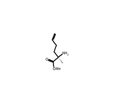 C=CCC[C@@](C)(N)C(=O)OC